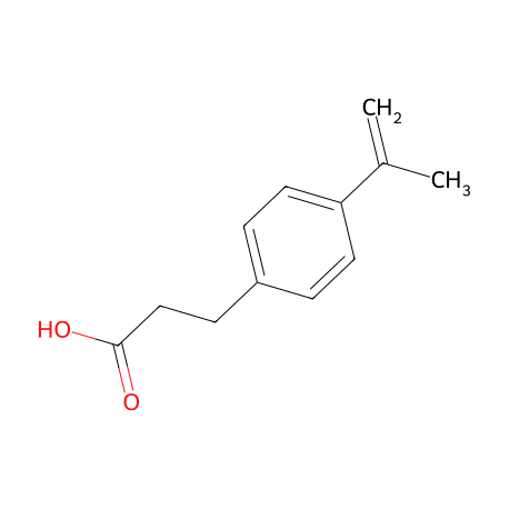 C=C(C)c1ccc(CCC(=O)O)cc1